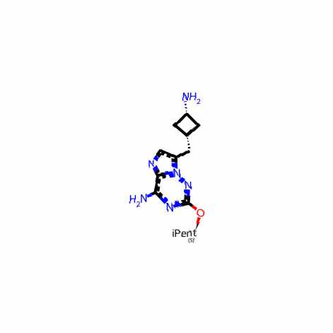 CCC[C@H](C)Oc1nc(N)c2ncc(C[C@H]3C[C@@H](N)C3)n2n1